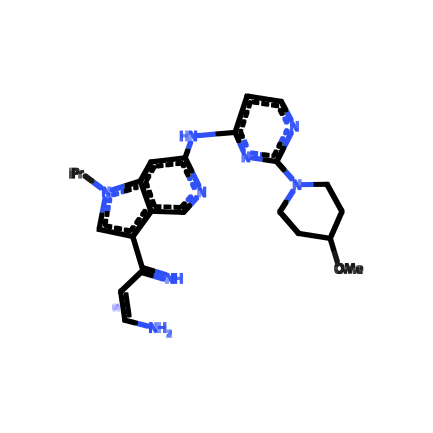 COC1CCN(c2nccc(Nc3cc4c(cn3)c(C(=N)/C=C\N)cn4C(C)C)n2)CC1